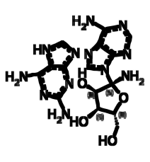 Nc1nc(N)c2[nH]cnc2n1.Nc1ncnc2c1ncn2[C@]1(N)O[C@H](CO)[C@@H](O)[C@H]1O